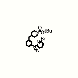 CC(C)(C)OC(=O)N1CCC(Cc2cccc(-n3cnc4ccc(Br)nc43)c2)CC1